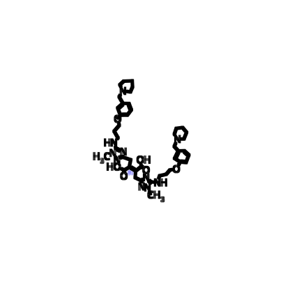 Cn1nc(C/C(C(=O)O)=C(/Cc2nc(NCCCOc3cccc(CN4CCCCC4)c3)n(C)n2)C(=O)O)nc1NCCCOc1cccc(CN2CCCCC2)c1